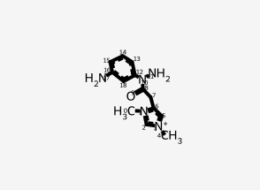 Cn1c[n+](C)cc1CC(=O)N(N)c1cccc(N)c1